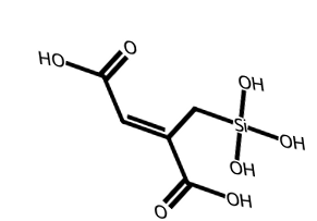 O=C(O)C=C(C[Si](O)(O)O)C(=O)O